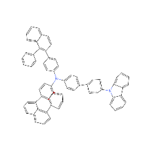 c1ccc(-c2c(-c3ccc(N(c4ccc(-c5ccc(-n6c7ccccc7c7ccccc76)cc5)cc4)c4ccc(-c5cccc6cccc(-c7ccccc7)c56)cc4)cc3)ccc3ccccc23)cc1